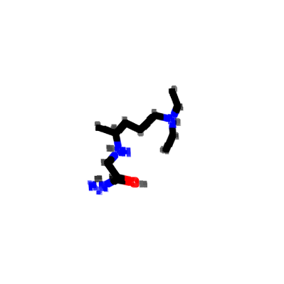 CCN(CC)CCCC(C)NCC(N)=O